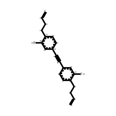 C=CCCc1ccc(C#Cc2ccc(CCC=C)c(F)c2)cc1F